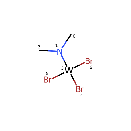 C[N](C)[W]([Br])([Br])[Br]